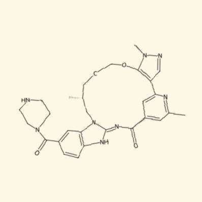 Cc1cc2cc(n1)-c1cnn(C)c1OCCC[C@@H](C)CN1/C(=N/C2=O)Nc2ccc(C(=O)N3CCNCC3)cc21